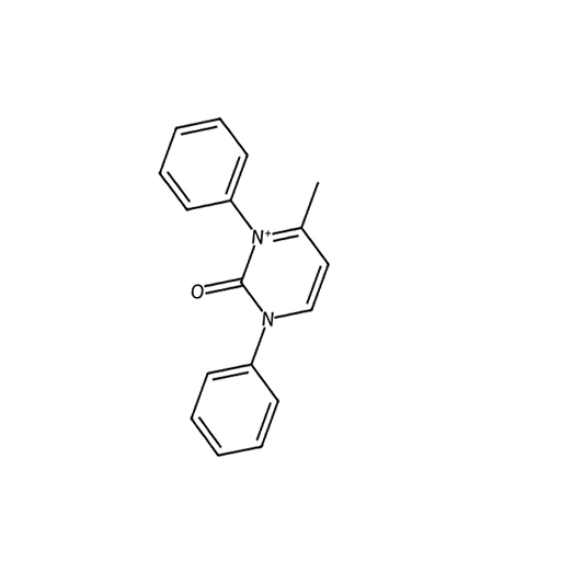 Cc1ccn(-c2ccccc2)c(=O)[n+]1-c1ccccc1